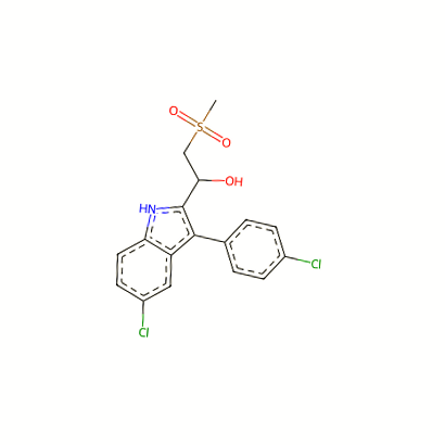 CS(=O)(=O)CC(O)c1[nH]c2ccc(Cl)cc2c1-c1ccc(Cl)cc1